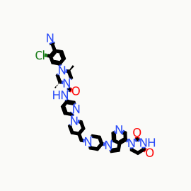 C[C@@H]1CN(c2ccc(C#N)c(Cl)c2)[C@@H](C)CN1C(=O)Nc1ccc(N2CCC(CN3CCC(n4ccc5c(N6CCC(=O)NC6=O)cncc54)CC3)CC2)nc1